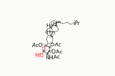 CC(=O)N[C@@H]1[C@@H](OC(C)=O)[C@H](OC(C)=O)[C@](COC(C)=O)(C2CC[C@@]3(C)C(CC[C@H]4[C@@H]5CC[C@H]([C@H](C)CCCC(C)C)[C@@]5(C)CC[C@@H]43)C2)O[C@H]1O